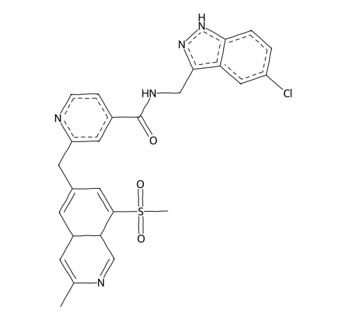 CC1=CC2C=C(Cc3cc(C(=O)NCc4n[nH]c5ccc(Cl)cc45)ccn3)C=C(S(C)(=O)=O)C2C=N1